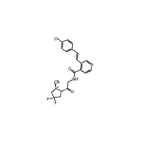 N#C[C@@H]1CC(F)(F)CN1C(=O)CNC(=O)c1ccncc1/C=C/c1ccc(Cl)cc1